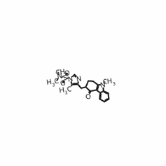 Cc1c(CC2CCc3c(c4ccccc4n3C)C2=O)ncn1S(=O)(=O)N(C)C